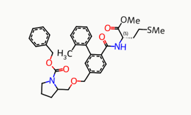 COC(=O)[C@H](CCSC)NC(=O)c1ccc(COCC2CCCN2C(=O)OCc2ccccc2)cc1-c1ccccc1C